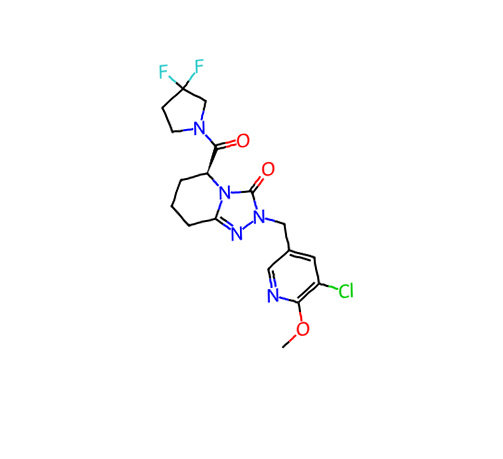 COc1ncc(Cn2nc3n(c2=O)[C@H](C(=O)N2CCC(F)(F)C2)CCC3)cc1Cl